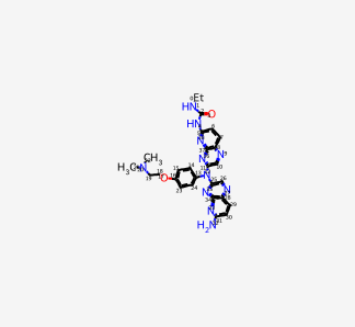 CCNC(=O)Nc1ccc2ncc(N(c3ccc(OCCN(C)C)cc3)c3cnc4ccc(N)nc4n3)nc2n1